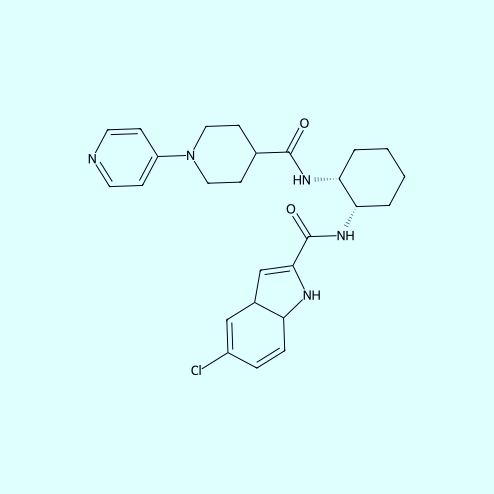 O=C(N[C@H]1CCCC[C@H]1NC(=O)C1CCN(c2ccncc2)CC1)C1=CC2C=C(Cl)C=CC2N1